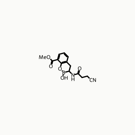 COC(=O)c1cccc2c1OB(O)C(NC(=O)CCC#N)C2